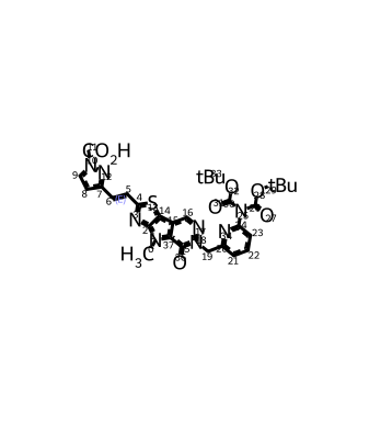 Cn1c2nc(/C=C/c3ccn(C(=O)O)n3)sc2c2cnn(Cc3cccc(N(C(=O)OC(C)(C)C)C(=O)OC(C)(C)C)n3)c(=O)c21